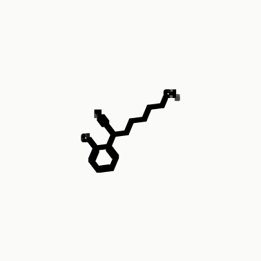 CCCCCCC(C#N)c1ccccc1Cl